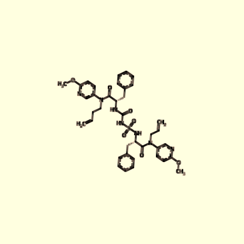 C=CCCN(C(=O)[C@H](Cc1ccccc1)NC(=O)NS(=O)(=O)N[C@@H](Cc1ccccc1)C(=O)N(CC=C)c1ccc(OC)nc1)c1ccc(OC)nc1